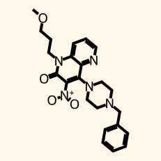 COCCCn1c(=O)c([N+](=O)[O-])c(N2CCN(Cc3ccccc3)CC2)c2ncccc21